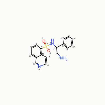 NCC(NS(=O)(=O)c1cccc2cnccc12)c1ccccc1